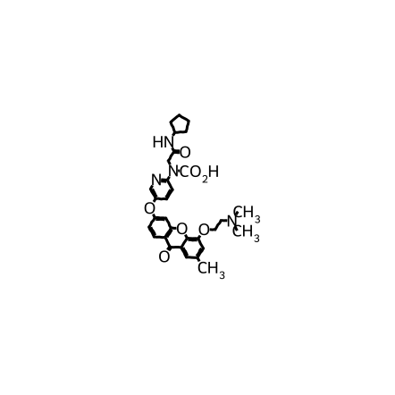 Cc1cc(OCCN(C)C)c2oc3cc(Oc4ccc(N(CC(=O)NC5CCCC5)C(=O)O)nc4)ccc3c(=O)c2c1